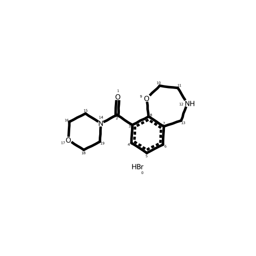 Br.O=C(c1cccc2c1OCCNC2)N1CCOCC1